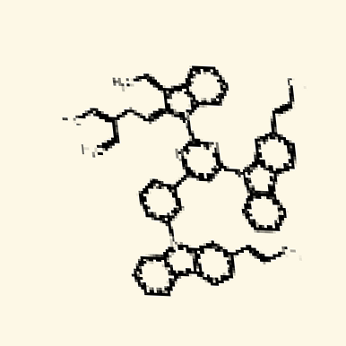 C=C/C(=C\C)C/C=c1\c(=C/C)c2ccccc2n1-c1nc(-c2cccc(-n3c4ccccc4c4ccc(/C=C/C)cc43)c2)cc(-n2c3ccccc3c3ccc(/C=C/C)cc32)n1